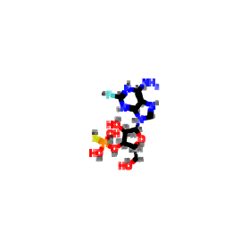 Nc1nc(F)nc2c1ncn2[C@@H]1O[C@H](CO)[C@@H](OP(O)(O)=S)[C@H]1O